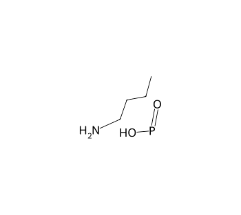 CCCCN.O=PO